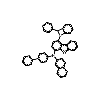 c1ccc(-c2ccc(N(c3ccc4ccccc4c3)c3ccc(N4c5ccccc5C4c4ccccc4)c4c3oc3ccccc34)cc2)cc1